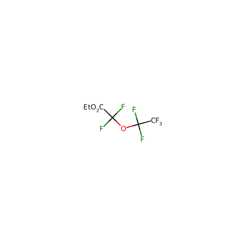 CCOC(=O)C(F)(F)OC(F)(F)C(F)(F)F